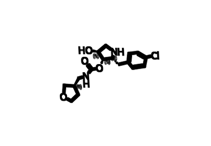 O=C(NC[C@H]1CCOC1)O[C@@H]1[C@@H](O)CN[C@@H]1Cc1ccc(Cl)cc1